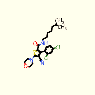 CC(C)CCCCCNC(=O)c1sc(N2CCOCC2)c(C#N)c1-c1ccc(Cl)cc1Cl